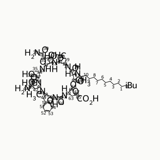 CCC(C)CCCCCCCCCCC(=O)NC1C(=O)NC(CC(=O)O)C(=O)NC(C(O)CC(N)=O)C(=O)NC(CO)C(=O)N(C)C(CC(N)=O)N(C)C(Cc2ccccc2)C(=O)NC(=O)NC(CCC(=O)O)C(=O)OC1C